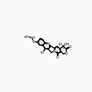 CCCNOc1ccc2nc3c(c(CC)c2c1)Cn1c-3cc2c(c1=O)COC(=O)[C@]2(O)CC